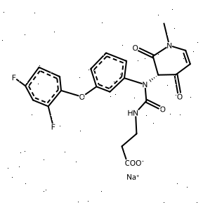 CN1C=CC(=O)[C@H](N(C(=O)NCCC(=O)[O-])c2cccc(Oc3ccc(F)cc3F)c2)C1=O.[Na+]